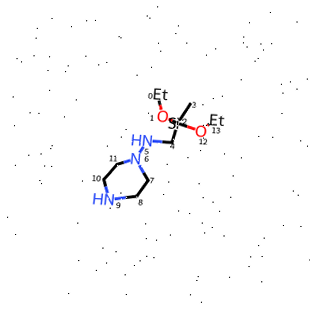 CCO[Si](C)(CNN1CCNCC1)OCC